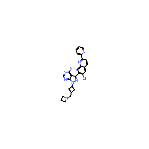 Nc1ncnc2c1c(-c1cc3nc(-c4ccccn4)ccc3cc1Cl)nn2C1CC(CN2CCC2)C1